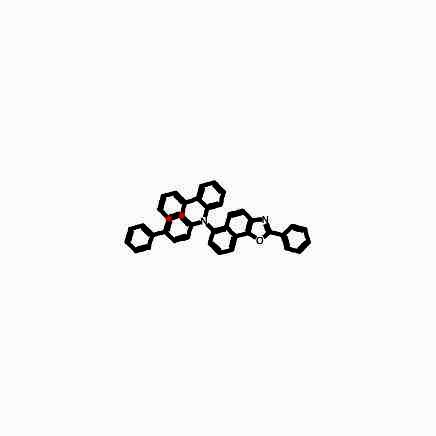 c1ccc(-c2ccc(N(c3ccccc3-c3ccccc3)c3cccc4c3ccc3nc(-c5ccccc5)oc34)cc2)cc1